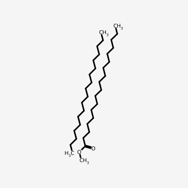 CCCCCCCCCCCCCCCCCC.CCCCCCCCCCCCCCCCCC(=O)OC